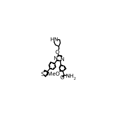 COc1cc(-c2ncc(OCC3CCNCC3)nc2-c2ccc(-c3ccsc3)cc2)ccc1C(N)=O